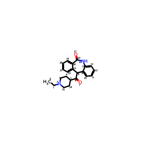 CCN1CCC(C(=O)C2c3ccccc3NC(=O)c3ccccc32)CC1